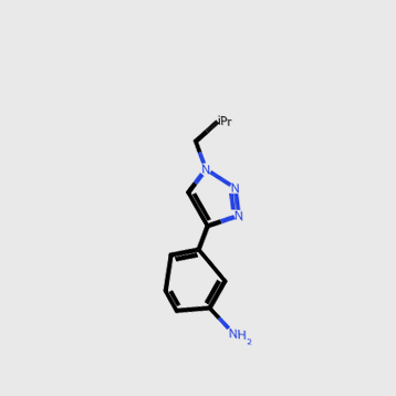 CC(C)Cn1cc(-c2cccc(N)c2)nn1